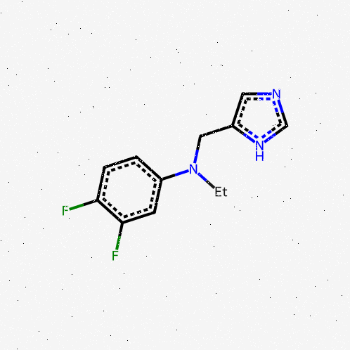 CCN(Cc1cnc[nH]1)c1ccc(F)c(F)c1